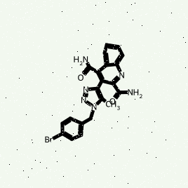 Cc1c(-c2c(C(N)=O)nc3ccccc3c2C(N)=O)nnn1Cc1ccc(Br)cc1